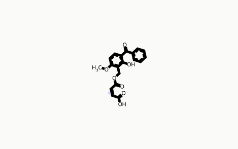 COc1ccc(C(=O)c2ccccc2)c(O)c1COC(=O)/C=C\C(=O)O